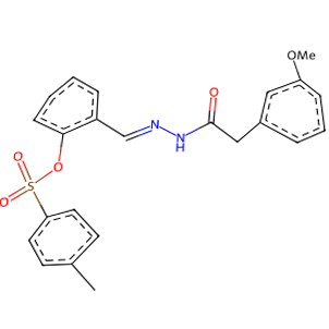 COc1cccc(CC(=O)NN=Cc2ccccc2OS(=O)(=O)c2ccc(C)cc2)c1